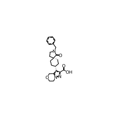 O=C(O)c1nn2c(c1[C@H]1CC[C@@]3(CCN(Cc4ccccc4)C3=O)CC1)COCC2